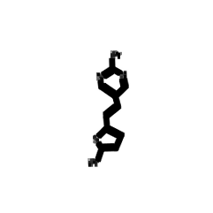 CC(C)c1ncc(/C=C/c2ccc(C(C)C)s2)cn1